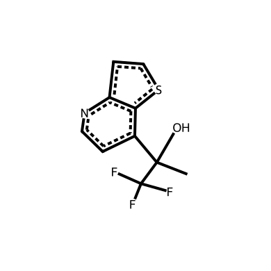 CC(O)(c1ccnc2ccsc12)C(F)(F)F